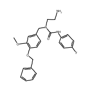 COc1cc(CN(CCN)C(=O)Nc2ccc(F)cc2)ccc1OCc1ccccc1